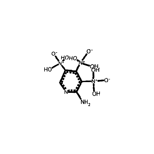 Nc1ncc([N+]([O-])(O)O)c([N+]([O-])(O)O)c1[N+]([O-])(O)O